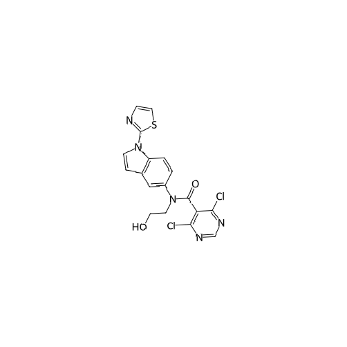 O=C(c1c(Cl)ncnc1Cl)N(CCO)c1ccc2c(ccn2-c2nccs2)c1